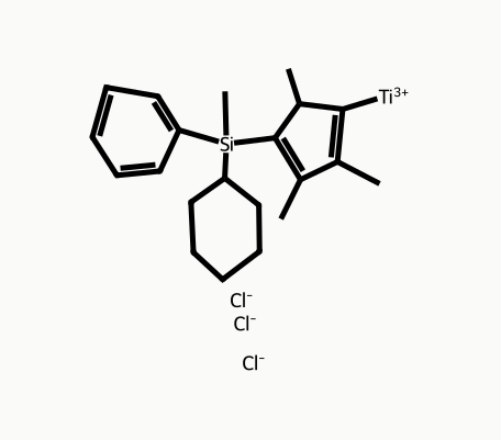 CC1=[C]([Ti+3])C(C)C([Si](C)(c2ccccc2)C2CCCCC2)=C1C.[Cl-].[Cl-].[Cl-]